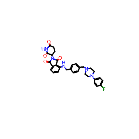 O=C1CCC(N2C(=O)c3cccc(NCc4ccc(CN5CCN(c6ccc(F)cc6)CC5)cc4)c3C2=O)C(=O)N1